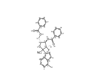 Cc1ncnn2c(C3(C#N)O[C@H](COC(=O)c4ccccc4)[C@@H](OC(=O)c4ccccc4)[C@@]3(C)F)ccc12